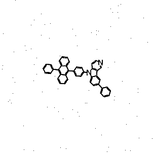 c1ccc(-c2ccc3c(c2)c2cnccc2n3-c2ccc(-c3c4ccccc4c(-c4ccccc4)c4ccccc34)cc2)cc1